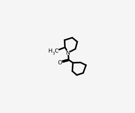 CC1CCCCN1C(=O)C1CCCCC1